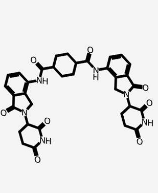 O=C1CCC(N2Cc3c(NC(=O)C4CCC(C(=O)Nc5cccc6c5CN(C5CCC(=O)NC5=O)C6=O)CC4)cccc3C2=O)C(=O)N1